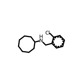 Clc1ccccc1CNC1CCCCCCC1